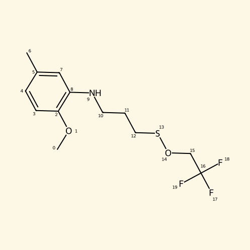 COc1ccc(C)cc1NCCCSOCC(F)(F)F